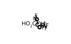 O=C(O)C(Cc1cccc(OC(F)(F)C(F)F)c1)C(O)c1ccc(F)nc1